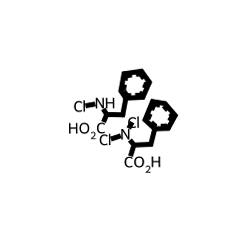 O=C(O)C(Cc1ccccc1)N(Cl)Cl.O=C(O)C(Cc1ccccc1)NCl